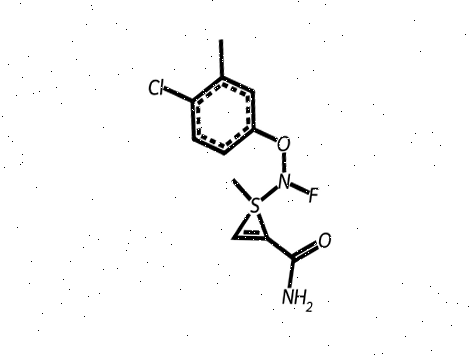 Cc1cc(ON(F)S2(C)C=C2C(N)=O)ccc1Cl